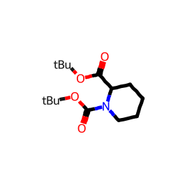 CC(C)(C)OC(=O)C1CCCCN1C(=O)OC(C)(C)C